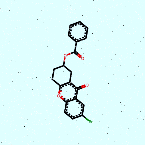 O=C(OC1CCc2oc3ccc(Br)cc3c(=O)c2C1)c1ccccc1